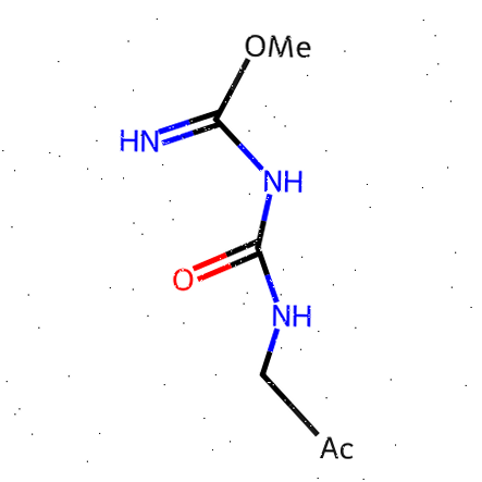 COC(=N)NC(=O)NCC(C)=O